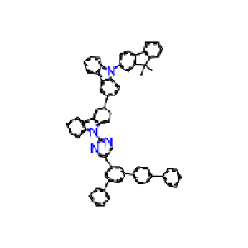 CC1(C)c2ccccc2-c2ccc(-n3c4ccccc4c4cc(C5C=c6c(n(-c7ncc(-c8cc(-c9ccccc9)cc(-c9ccc(-c%10ccccc%10)cc9)c8)cn7)c7ccccc67)=CC5)ccc43)cc21